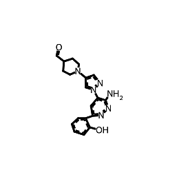 Nc1nnc(-c2ccccc2O)cc1-n1cc(N2CCC(C=O)CC2)cn1